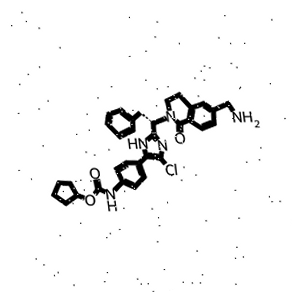 NCc1ccc2c(c1)CCN([C@@H](Cc1ccccc1)c1nc(Cl)c(-c3ccc(NC(=O)OC4CCCC4)cc3)[nH]1)C2=O